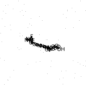 CC[C@@H]([C@H](C)OC(=O)OC(C)OC(=O)CC(=O)O)n1ncn(-c2ccc(N3CCN(c4ccc(OC[C@@H]5CO[C@@](CCn6cncn6)(c6ccc(F)cc6F)C5)cc4)CC3)cc2)c1=O